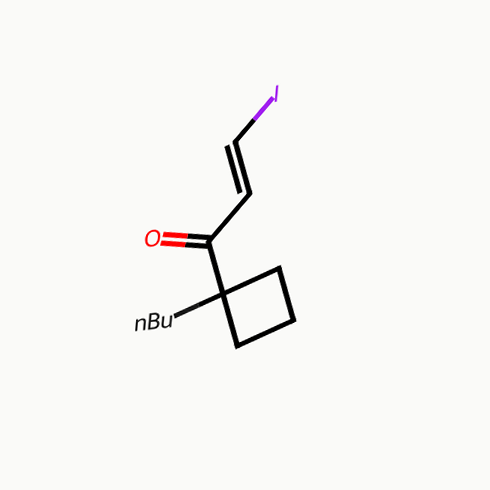 CCCCC1(C(=O)C=CI)CCC1